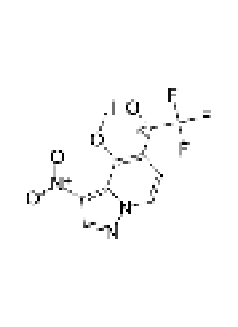 COc1c([C@H](O)C(F)(F)F)ccn2ncc([N+](=O)[O-])c12